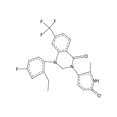 CCc1cc(F)ccc1N1CN(c2ccc(=O)[nH]c2C)C(=O)c2ccc(C(F)(F)F)cc21